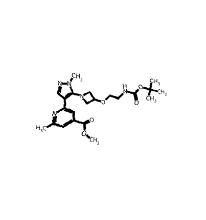 COC(=O)c1cc(C)nc(-c2cnn(C)c2N2CC(OCCNC(=O)OC(C)(C)C)C2)c1